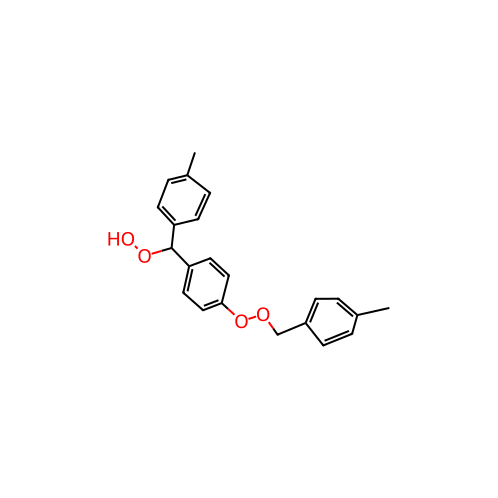 Cc1ccc(COOc2ccc(C(OO)c3ccc(C)cc3)cc2)cc1